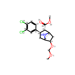 COCOC1CC2NC1C[C@@H](c1ccc(Cl)c(Cl)c1)[C@@H]2C(=O)OC